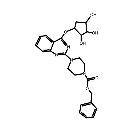 O=C(OCc1ccccc1)N1CCN(c2nc(OC3CC(O)C(O)C3O)c3ccccc3n2)CC1